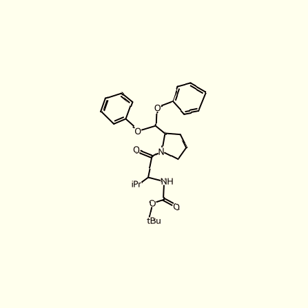 CC(C)C(NC(=O)OC(C)(C)C)C(=O)N1CCCC1C(Oc1ccccc1)Oc1ccccc1